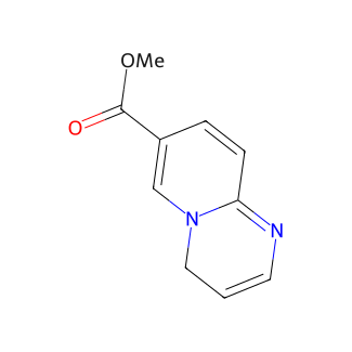 COC(=O)C1=CN2CC=CN=C2C=C1